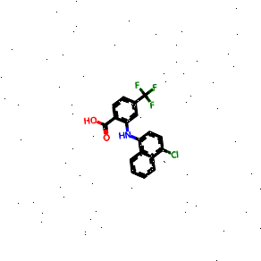 O=C(O)c1ccc(C(F)(F)F)cc1Nc1ccc(Cl)c2ccccc12